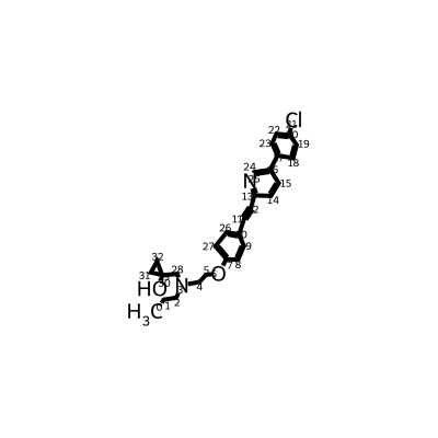 CCCN(CCOc1ccc(C#Cc2ccc(-c3ccc(Cl)cc3)cn2)cc1)CC1(O)CC1